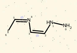 NN/C=C\N=C/I